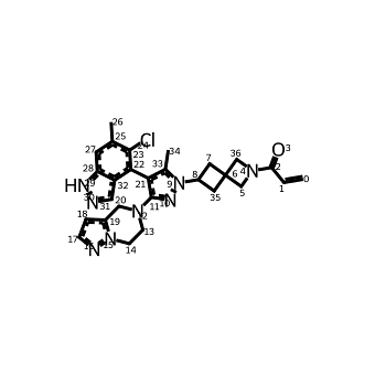 C=CC(=O)N1CC2(CC(n3nc(N4CCn5nccc5C4)c(-c4c(Cl)c(C)cc5[nH]ncc45)c3C)C2)C1